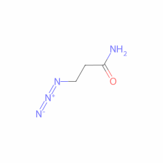 [N-]=[N+]=NCCC(N)=O